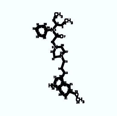 CCC(CC)N(C(=O)CN1CCN(CCCc2c[nH]c3ccc(OC)cc23)CC1)c1ccccc1